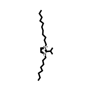 CCCCCCCCCCC[n+]1ccn(CCCCCCCC)c1C(C)C